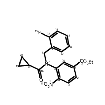 CCOC(=O)c1ccc([N+](=O)[O-])c(N(Cc2ccccc2F)C(=O)C2CC2)c1